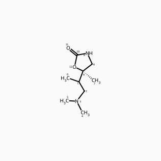 CC(CN(C)C)[C@]1(C)CNC(=O)O1